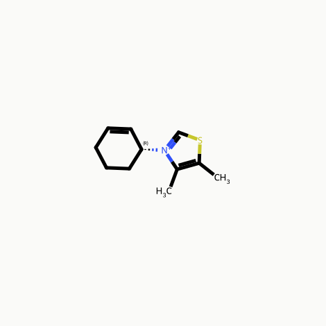 Cc1sc[n+]([C@H]2C=CCCC2)c1C